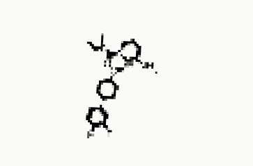 CCNC(=O)N1CCCC(N)[C@@H]1CO[C@H]1CC[C@@H](c2ccc(F)c(F)c2)CC1